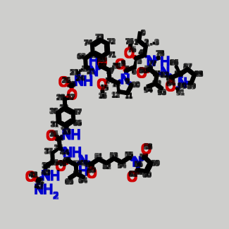 CC[C@H](C)[C@@H]([C@@H](CC(=O)N1CCC[C@H]1[C@H](OC)[C@@H](C)C(=O)N[C@H](CNC(=O)OCc1ccc(NC(=O)[C@H](CCCNC(N)=O)NC(=O)[C@@H](NC(=O)CCCCCN2C(=O)C=CC2=O)C(C)C)cc1)Cc1ccccc1)OC)N(C)C(=O)[C@@H](NC(=O)[C@]1(C)CCCN1C)C(C)C